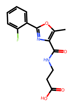 Cc1oc(-c2ccccc2F)nc1C(=O)NCCC(=O)O